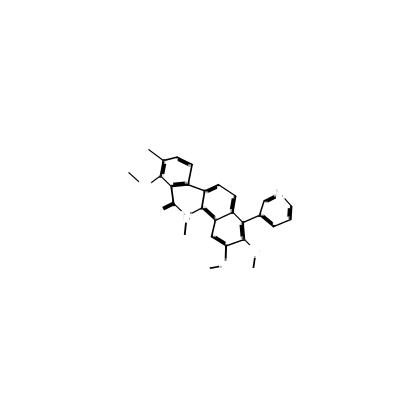 COc1cc2c(ccc3c4ccc(C)c(OC)c4c(=O)n(C)c23)c(-c2cccnc2)c1OC